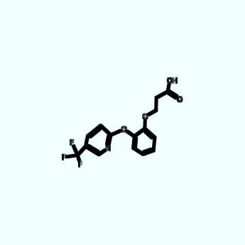 O=C(O)CCOc1ccccc1Oc1ccc(C(F)(F)F)cn1